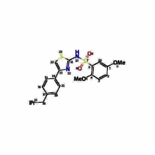 COc1ccc(OC)c(S(=O)(=O)Nc2nc(-c3ccc(CC(C)C)cc3)cs2)c1